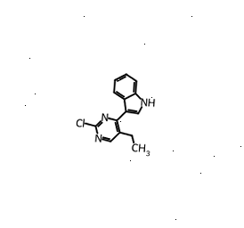 CCc1cnc(Cl)nc1-c1c[nH]c2ccccc12